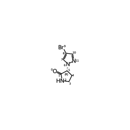 O=C1NCC[C@H]1n1cc(Br)cn1